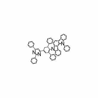 C1=C(c2cc(-c3ccccc3)nc(-c3ccccc3)n2)CC(c2ccccc2)C(n2c3ccccc3c3c2ccc2c4ccccc4n(-c4ccccc4)c23)=C1c1ccccc1